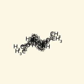 CCCCC(CC)COc1ccc(B2N=c3/c(=C4/C(=O)C(c5ccc6cccc7c6c5NB(c5ccc(OCC(CC)CCCC)cc5)N7)=C4O)ccc4cccc(c34)N2)cc1